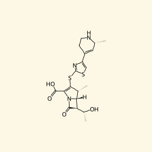 C[C@@H]1C=C(c2csc(SC3=C(C(=O)O)N4C(=O)[C@H]([C@@H](C)O)[C@H]4[C@H]3C)n2)CCN1